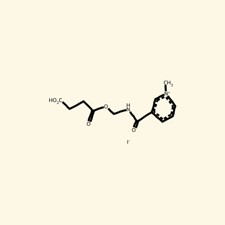 C[n+]1cccc(C(=O)NCOC(=O)CCC(=O)O)c1.[I-]